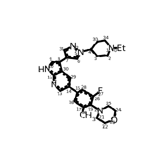 CCN1CCC(n2cc(-c3c[nH]c4ncc(-c5cc(C)c(N6CCOCC6)c(F)c5)cc34)cn2)CC1